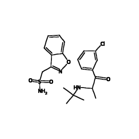 CC(NC(C)(C)C)C(=O)c1cccc(Cl)c1.NS(=O)(=O)Cc1noc2ccccc12